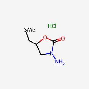 CSCC1CN(N)C(=O)O1.Cl